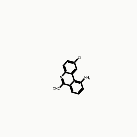 Nc1cccc2c(C=O)nc3ccc(Cl)cc3c12